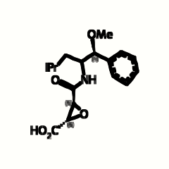 CO[C@@H](c1ccccc1)C(CC(C)C)NC(=O)[C@H]1O[C@@H]1C(=O)O